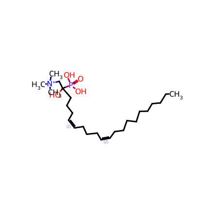 CCCCCCCCCC/C=C\CCC/C=C\CCCC(O)(C[N+](C)(C)C)P(=O)(O)O